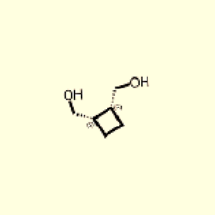 OC[C@@H]1CC[C@@H]1CO